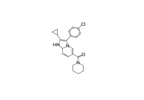 O=C(C1=CN2C(c3ccc(Cl)cc3)=C(C3CC3)NC2C=C1)N1CCCCC1